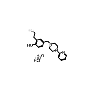 Cl.Cl.O.OCCc1cc(CN2CCN(c3ccccn3)CC2)ccc1O